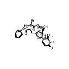 C#C[C@@]1(O)[C@H](O)[C@@H](COP(=O)(N[C@@H](CC)C(=O)OC(C)C)Oc2ccccc2)O[C@H]1N1C=CC(=O)NC1=C